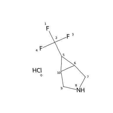 Cl.FC(F)(F)C1C2CNCC21